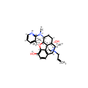 C=CCN1CC[C@]23c4c5ccc(O)c4O[C@H]2[C@@H](N(C(C)=O)c2ncccc2C)CC[C@@]3(O)[C@H]1C5